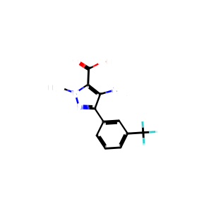 Cn1nc(-c2cccc(C(F)(F)F)c2)c(N)c1C(=O)O